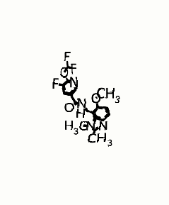 COc1ccc2nc(C)n(C)c2c1CNC(=O)c1cnc(OC(F)F)c(F)c1